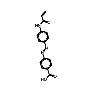 C=CC(=O)Nc1ccc(/N=N/c2ccc(C(=O)O)cc2)cc1